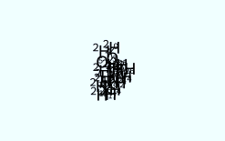 [2H]C([2H])OC(=O)C([2H])([2H])C([2H])(N([2H])C([2H])([2H])C([2H])([2H])[2H])C([2H])([2H])C([2H])([2H])[2H]